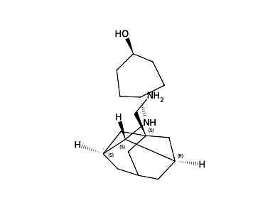 NC[C@]12CC3C[C@H](C1)[C@@H](N[C@H]1CC[C@H](O)CC1)[C@@H](C3)C2